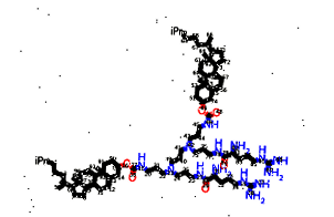 CC(C)CCCC(C)C1CCC2C3CC=C4CC(OC(=O)NCCCN(CCCNC(=O)C(N)CCCNC(=N)N)CCCN(CCCNC(=O)OC5CCC6(C)C(=CCC7C6CCC6(C)C(C(C)CCCC(C)C)CCC76)C5)CCCNC(=O)C(N)CCCNC(=N)N)CCC4(C)C3CCC12C